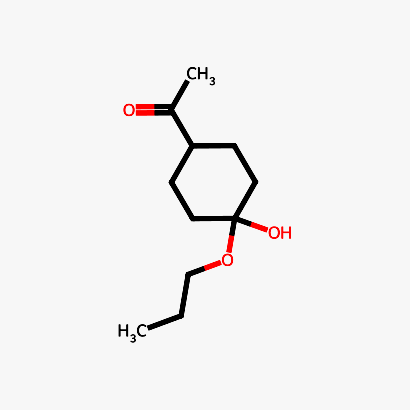 CCCOC1(O)CCC(C(C)=O)CC1